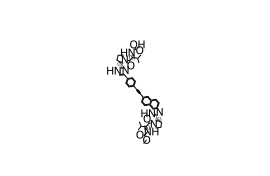 COC(=O)N[C@H](C(=O)N1CCC[C@H]1c1nc2ccc3cc(C#Cc4ccc(-c5c[nH]c([C@@H]6CCCN6C(=O)[C@@H](NC(=O)O)C(C)C)n5)cc4)ccc3c2[nH]1)C(C)C